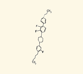 CCCCCc1ccc(C2CCC(c3ccc(-c4ccc(CCC)cc4)c(F)c3F)CC2)cc1F